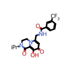 CC(C)N1CCn2c(CNC(=O)c3cccc(C(F)(F)F)c3)cc(=O)c(O)c2C1=O